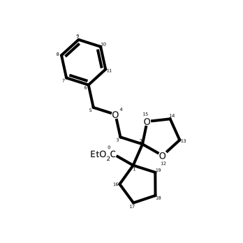 CCOC(=O)C1(C2(COCc3ccccc3)OCCO2)CCCC1